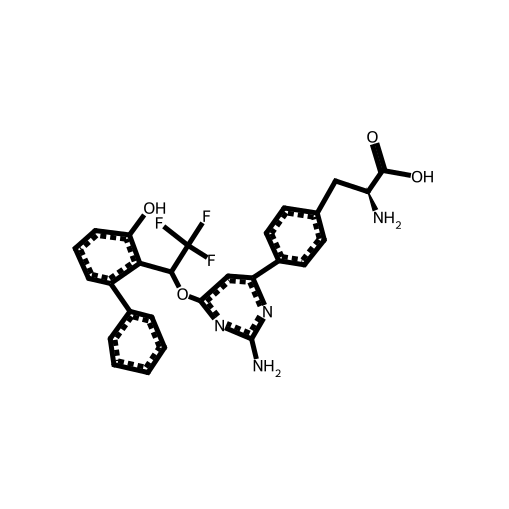 Nc1nc(OC(c2c(O)cccc2-c2ccccc2)C(F)(F)F)cc(-c2ccc(C[C@H](N)C(=O)O)cc2)n1